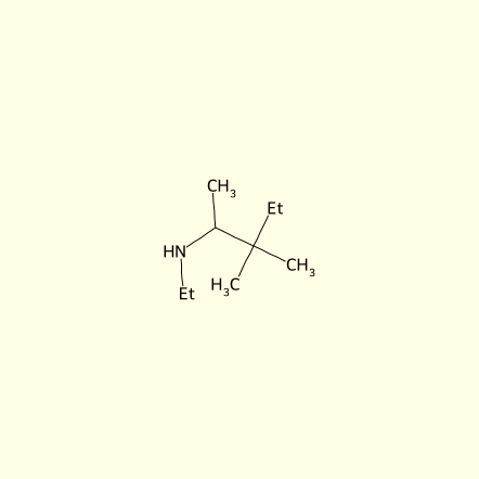 CCNC(C)C(C)(C)CC